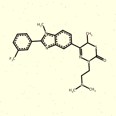 CC1SC(=O)N(CCN(C)C)N=C1c1ccc2c(c1)nc(-c1cccc(C(F)(F)F)c1)n2C